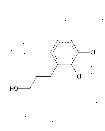 OC[CH]Cc1cccc(Cl)c1Cl